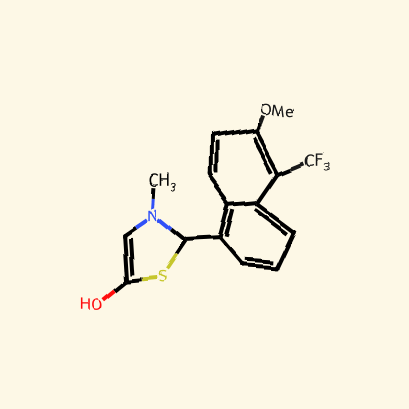 COc1ccc2c(C3SC(O)=CN3C)cccc2c1C(F)(F)F